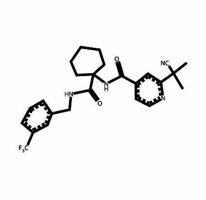 CC(C)(C#N)c1cc(C(=O)NC2(C(=O)NCc3cccc(C(F)(F)F)c3)CCCCC2)ccn1